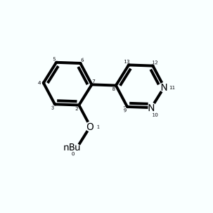 CCCCOc1ccccc1-c1[c]nncc1